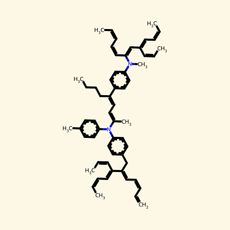 C=C/C=C\C=C(/Cc1ccc(N(/C(C)=C/C=C(\CCCC)c2ccc(N(C)C(\C=C/C=C\C)=C/C(/C=C\C)=C/C=C\C)cc2)c2ccc(C)cc2)cc1)C(=C/C=C\C)/C=C\C